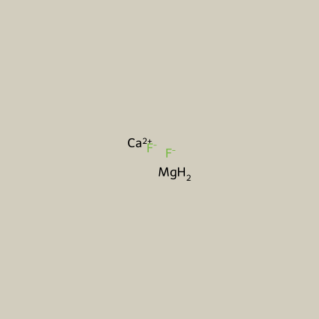 [Ca+2].[F-].[F-].[MgH2]